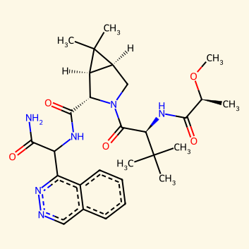 CO[C@@H](C)C(=O)N[C@H](C(=O)N1C[C@H]2[C@@H]([C@H]1C(=O)NC(C(N)=O)c1nncc3ccccc13)C2(C)C)C(C)(C)C